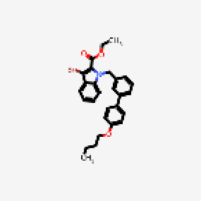 CCCCOc1ccc(-c2cccc(Cn3c(C(=O)OCC)c(Br)c4ccccc43)c2)cc1